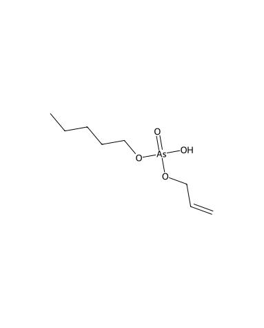 C=CCO[As](=O)(O)OCCCCC